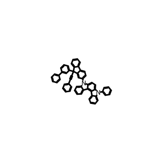 C(#CC1(c2cccc(-c3ccccc3)c2)c2ccccc2-c2ccc(-n3c4ccccc4c4c5c6ccccc6n(-c6ccccc6)c5ccc43)cc21)c1ccccc1